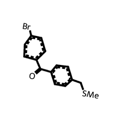 CSCc1ccc(C(=O)c2ccc(Br)cc2)cc1